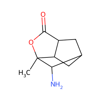 CC12OC(=O)C3CC(CC31)C2N